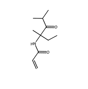 C=CC(=O)NC(C)(CC)C(=O)C(C)C